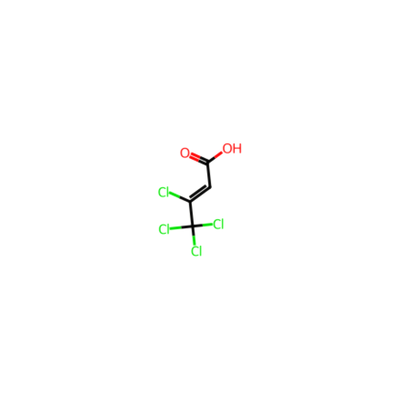 O=C(O)/C=C(\Cl)C(Cl)(Cl)Cl